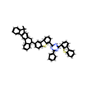 CC1(C)c2ccccc2-c2cc3c(cc21)CC(c1ccc2sc4c(-c5nc(-c6ccccc6)nc(-c6cccc7c6sc6ccccc67)n5)cccc4c2c1)c1ccccc1-3